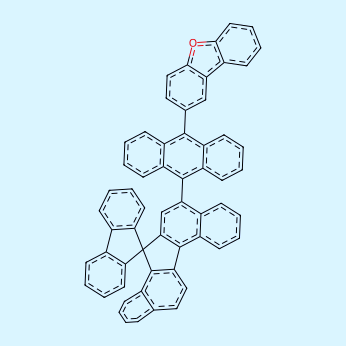 c1ccc2c(c1)-c1ccccc1C21c2cc(-c3c4ccccc4c(-c4ccc5oc6ccccc6c5c4)c4ccccc34)c3ccccc3c2-c2ccc3ccccc3c21